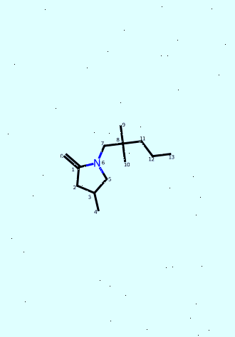 C=C1CC(C)CN1CC(C)(C)CCC